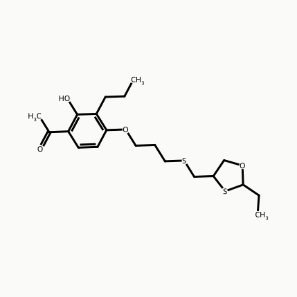 CCCc1c(OCCCSCC2COC(CC)S2)ccc(C(C)=O)c1O